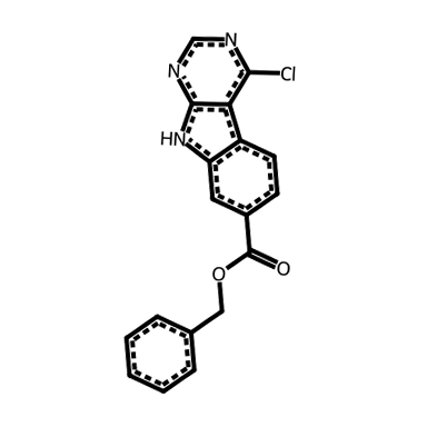 O=C(OCc1ccccc1)c1ccc2c(c1)[nH]c1ncnc(Cl)c12